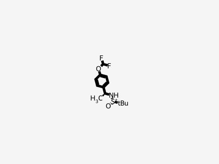 C[C@H](N[S+]([O-])C(C)(C)C)c1ccc(OC(F)F)cc1